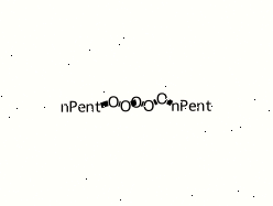 CCCCCOOOOOCCCCC